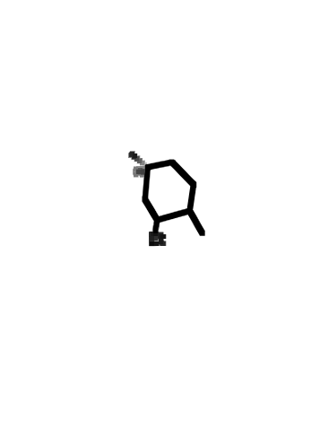 CCC1C[C@H](C)CCC1C